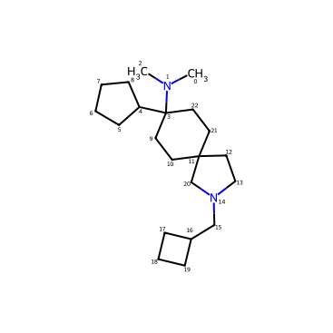 CN(C)C1(C2CCCC2)CCC2(CCN(CC3CCC3)C2)CC1